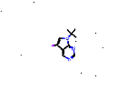 CC(C)(C)n1cc(I)c2cncnc21